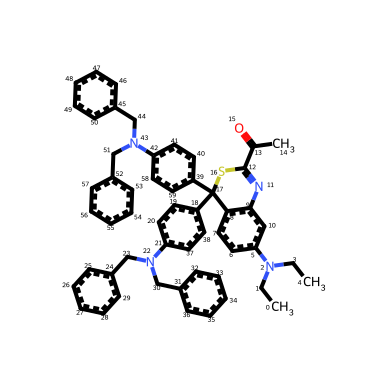 CCN(CC)c1ccc2c(c1)N=C(C(C)=O)SC2(c1ccc(N(Cc2ccccc2)Cc2ccccc2)cc1)c1ccc(N(Cc2ccccc2)Cc2ccccc2)cc1